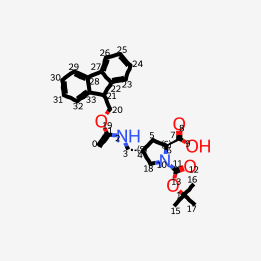 C=C(NC[C@@H]1C[C@@H](C(=O)O)N(C(=O)OC(C)(C)C)C1)OCC1c2ccccc2-c2ccccc21